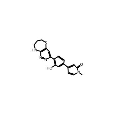 Cn1ccc(-c2ccc(-c3cc4c(nn3)NCCCS4)c(O)c2)cc1=O